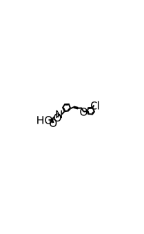 O=C(O)CON=Cc1cccc(C#CCOc2cccc(Cl)c2)c1